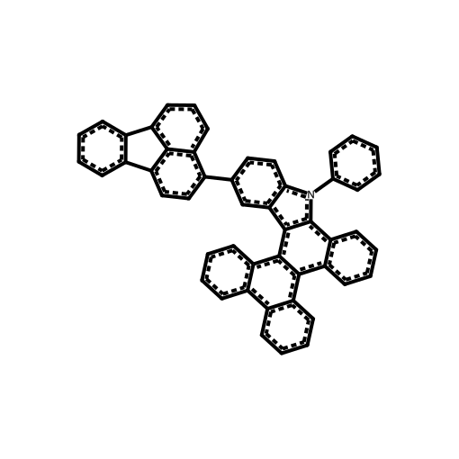 c1ccc(-n2c3ccc(-c4ccc5c6c(cccc46)-c4ccccc4-5)cc3c3c4c5ccccc5c5ccccc5c4c4ccccc4c32)cc1